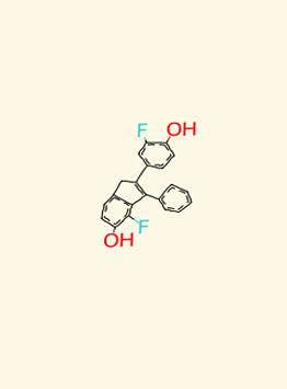 Oc1ccc(C2=C(c3ccccc3)c3c(ccc(O)c3F)C2)cc1F